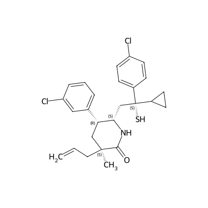 C=CC[C@@]1(C)C[C@H](c2cccc(Cl)c2)[C@H](C[C@@](S)(c2ccc(Cl)cc2)C2CC2)NC1=O